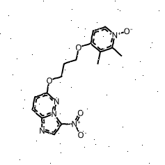 Cc1c(OCCCOc2ccc3ncc([N+](=O)[O-])n3n2)cc[n+]([O-])c1C